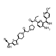 CCN(C(=O)[C@@H]1CCN(CC(=O)N2CC=C(c3ncc(C(=N)C#N)s3)CC2)C1)c1ccc(N)c(C(=N)c2ccc(OC)nc2)n1